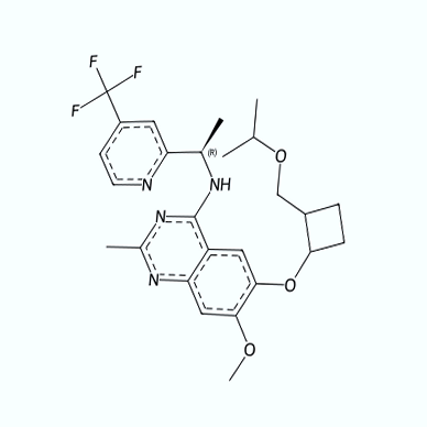 COc1cc2nc(C)nc(N[C@H](C)c3cc(C(F)(F)F)ccn3)c2cc1OC1CCC1COC(C)C